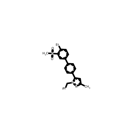 CCc1ccc(-c2ccc(-c3cc(C)nn3CC(C)C)cc2)cc1S(C)(=O)=O